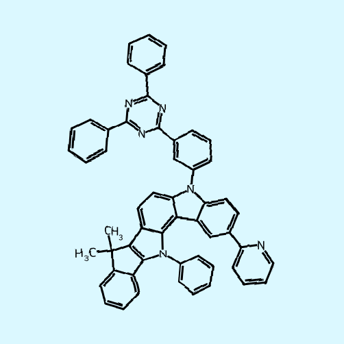 CC1(C)c2ccccc2-c2c1c1ccc3c(c4cc(-c5ccccn5)ccc4n3-c3cccc(-c4nc(-c5ccccc5)nc(-c5ccccc5)n4)c3)c1n2-c1ccccc1